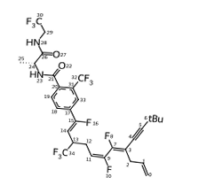 C=CC/C(C#CC(C)(C)C)=C(F)\C(F)=C/CC(/C=C(\F)c1ccc(C(=O)N[C@H](C)C(=O)NCC(F)(F)F)c(C(F)(F)F)c1)C(F)(F)F